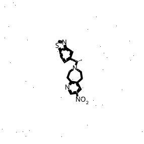 C[C@@H](c1ccc2scnc2c1)N1CCc2cc([N+](=O)[O-])cnc2CC1